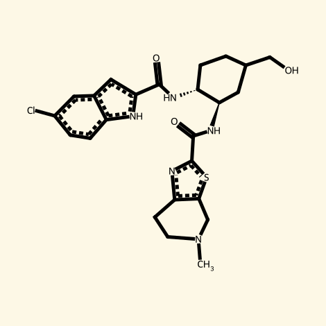 CN1CCc2nc(C(=O)N[C@@H]3CC(CO)CC[C@H]3NC(=O)c3cc4cc(Cl)ccc4[nH]3)sc2C1